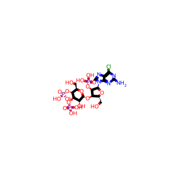 Nc1nc(Cl)c2ncn([C@@H]3O[C@H](CO)[C@@H](O[C@H]4O[C@H](CO)[C@@H](OP(=O)(O)O)[C@H](OP(=O)(O)O)[C@H]4O)[C@H]3OP(=O)(O)O)c2n1